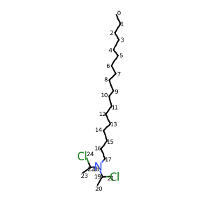 CCCCCCCCCCCCCCCCCCN(C(C)Cl)C(C)Cl